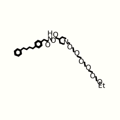 CCOCCOCCOCCOCCOCCOCN1CCC(C(=O)ONC(=O)Cc2ccc(CCCCc3ccccc3)cc2)CC1